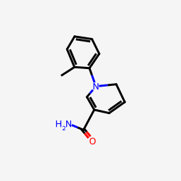 Cc1ccccc1N1C=C(C(N)=O)C=CC1